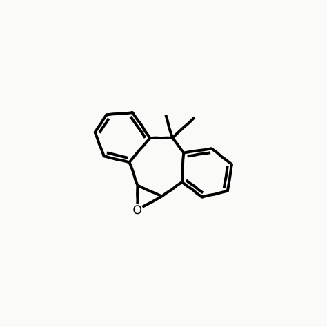 CC1(C)c2ccccc2C2OC2c2ccccc21